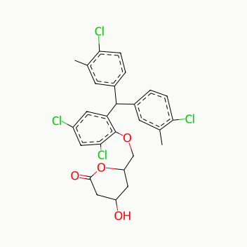 Cc1cc(C(c2ccc(Cl)c(C)c2)c2cc(Cl)cc(Cl)c2OCC2CC(O)CC(=O)O2)ccc1Cl